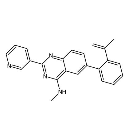 C=C(C)c1ccccc1-c1ccc2nc(-c3cccnc3)nc(NC)c2c1